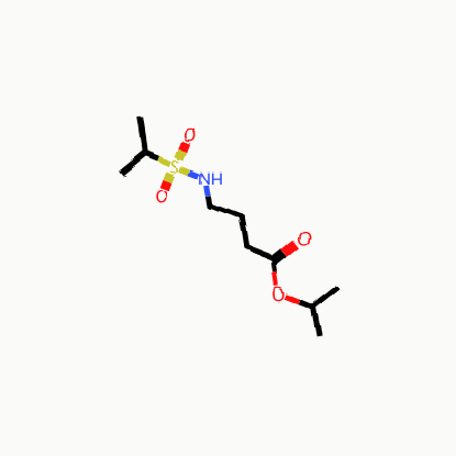 CC(C)OC(=O)CCCNS(=O)(=O)C(C)C